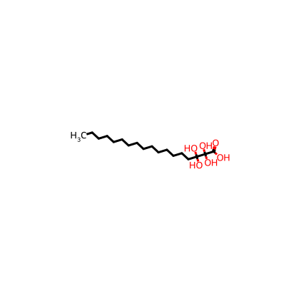 CCCCCCCCCCCCCCCC(O)(O)C(O)(O)C(=O)O